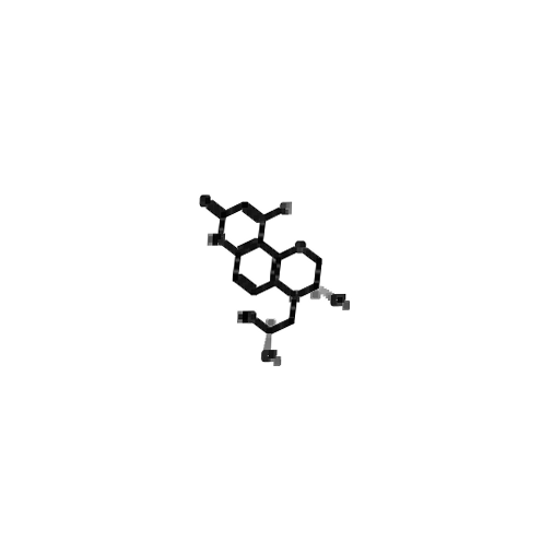 O=c1cc(Cl)c2c3c(ccc2[nH]1)N(C[C@@H](O)C(F)(F)F)[C@@H](C(F)(F)F)CO3